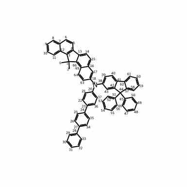 CC1(C)c2c(ccc3ccccc23)-c2ccc3cc(N(c4ccc(-c5ccc(-c6ccccc6)cc5)cc4)c4ccc5c(c4)C(c4ccccc4)(c4ccccc4)c4ccccc4-5)ccc3c21